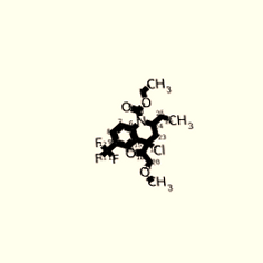 CCOC(=O)N1c2ccc(C(F)(F)F)cc2C(Cl)(C(=O)COC)CC1CC